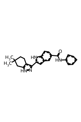 CC1(C)CCc2c(-c3cc4cc(C(=O)Nc5ccccc5)ccc4[nH]3)n[nH]c2C1